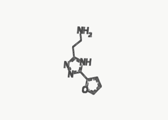 NCCc1nnc(-c2ccco2)[nH]1